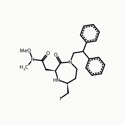 CON(C)C(=O)C[C@@H]1N[C@H](CI)CCN(CC(c2ccccc2)c2ccccc2)C1=O